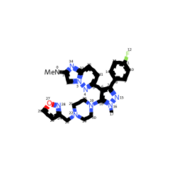 CNc1cn2nc(-c3c(-c4ccc(F)cc4)nn(C)c3N3CCN(Cc4ccon4)CC3)ccc2n1